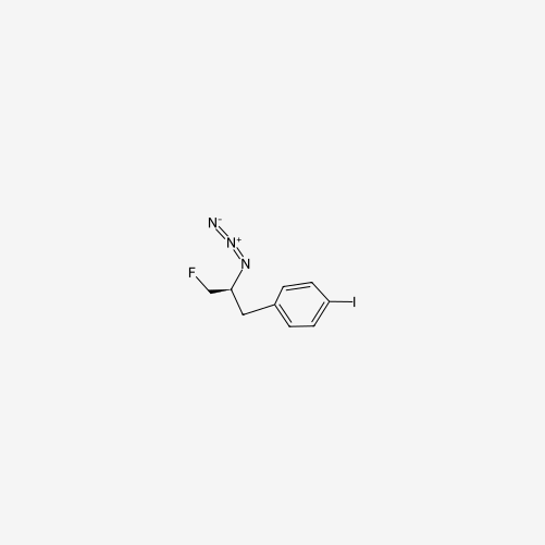 [N-]=[N+]=N[C@H](CF)Cc1ccc(I)cc1